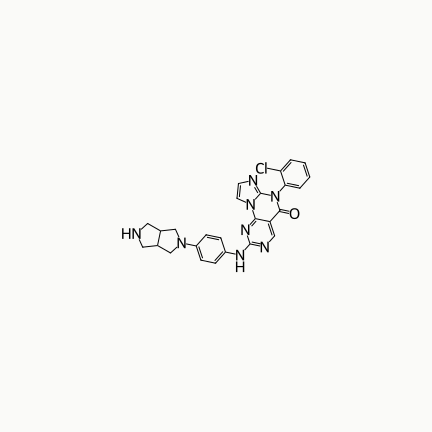 O=c1c2cnc(Nc3ccc(N4CC5CNCC5C4)cc3)nc2n2ccnc2n1-c1ccccc1Cl